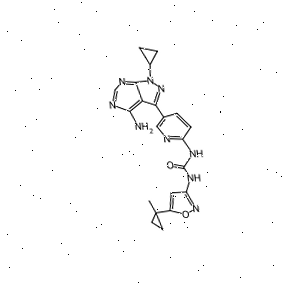 CC1(c2cc(NC(=O)Nc3ccc(-c4nn(C5CC5)c5ncnc(N)c45)cn3)no2)CC1